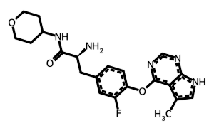 Cc1c[nH]c2ncnc(Oc3ccc(C[C@H](N)C(=O)NC4CCOCC4)cc3F)c12